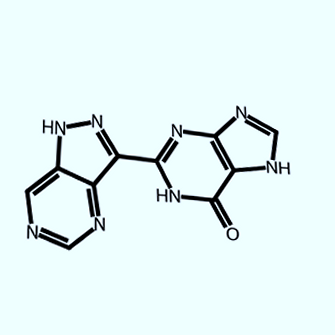 O=c1[nH]c(-c2n[nH]c3cncnc23)nc2nc[nH]c12